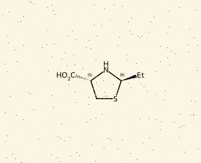 CC[C@@H]1N[C@@H](C(=O)O)CS1